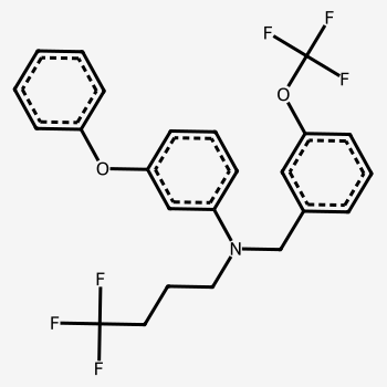 FC(F)(F)CCCN(Cc1cccc(OC(F)(F)F)c1)c1cccc(Oc2ccccc2)c1